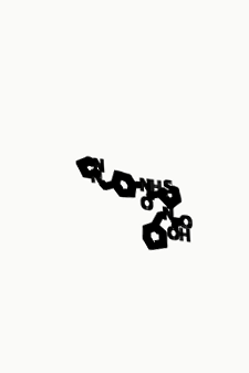 O=C(Nc1ccc(Cn2cccn2)cc1)c1sccc1N(Cc1ccccc1)C(=O)O